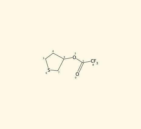 O=C(OC1CCSC1)C(F)(F)F